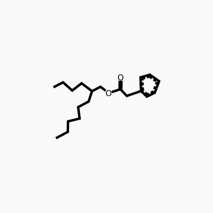 CCCCCCC(CCCC)COC(=O)Cc1ccccc1